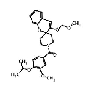 COCOC1=Cc2ccccc2OC12CCN(C(=O)c1ccc(OC(C)C)c(OC)c1)CC2